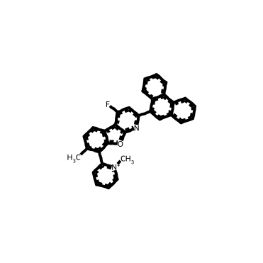 Cc1ccc2c(oc3nc(-c4cc5ccccc5c5ccccc45)cc(F)c32)c1-c1cccc[n+]1C